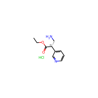 CCOC(=O)[C@H](CN)c1cccnc1.Cl